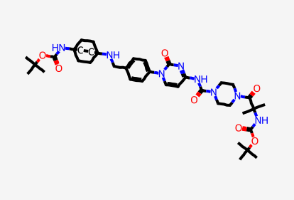 CC(C)(C)OC(=O)NC12CCC(NCc3ccc(-n4ccc(NC(=O)N5CCN(C(=O)C(C)(C)NC(=O)OC(C)(C)C)CC5)nc4=O)cc3)(CC1)CC2